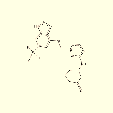 O=C1CCCC(Nc2cccc(CNc3cc(C(F)(F)F)cc4[nH]ncc34)c2)C1